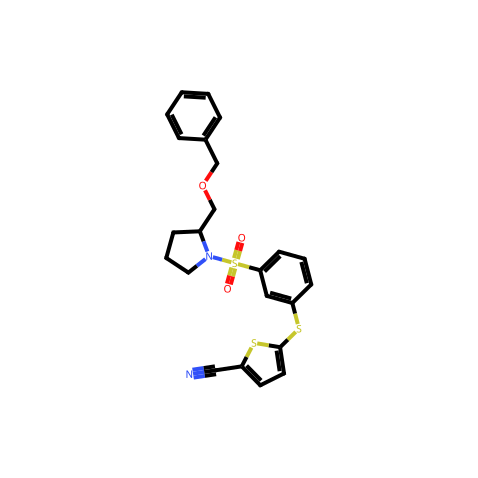 N#Cc1ccc(Sc2cccc(S(=O)(=O)N3CCCC3COCc3ccccc3)c2)s1